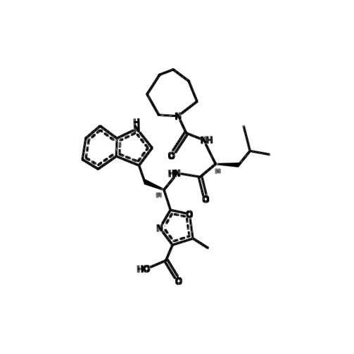 Cc1oc([C@@H](Cc2c[nH]c3ccccc23)NC(=O)[C@H](CC(C)C)NC(=O)N2CCCCCC2)nc1C(=O)O